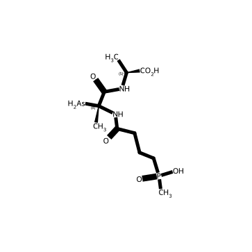 C[C@H](NC(=O)[C@@](C)([AsH2])NC(=O)CCCP(C)(=O)O)C(=O)O